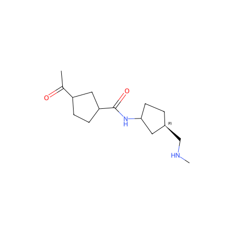 CNC[C@@H]1CCC(NC(=O)C2CCC(C(C)=O)C2)C1